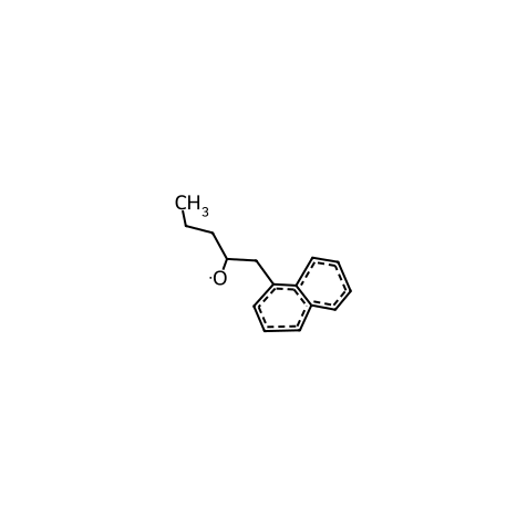 CCCC([O])Cc1cccc2ccccc12